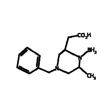 BN1C(C)CN(Cc2ccccc2)CC1CC(=O)O